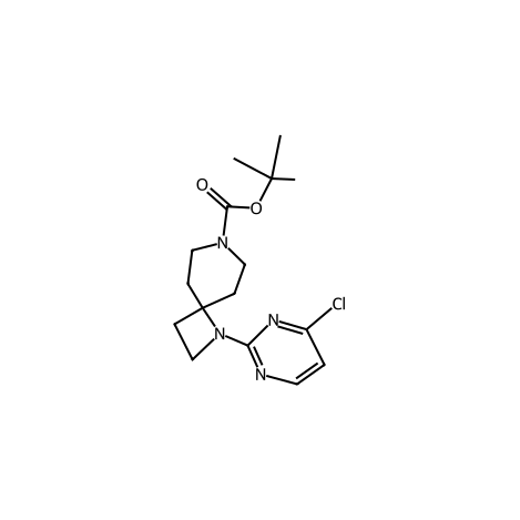 CC(C)(C)OC(=O)N1CCC2(CC1)CCN2c1nccc(Cl)n1